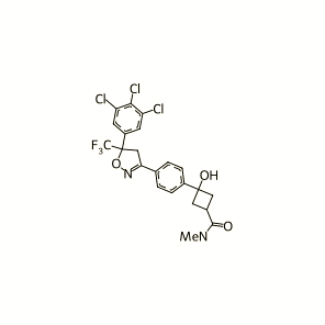 CNC(=O)C1CC(O)(c2ccc(C3=NOC(c4cc(Cl)c(Cl)c(Cl)c4)(C(F)(F)F)C3)cc2)C1